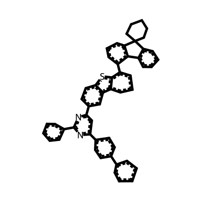 c1ccc(-c2ccc(-c3cc(-c4ccc5sc6c(-c7cccc8c7-c7ccccc7C87CCCCC7)cccc6c5c4)nc(-c4ccccc4)n3)cc2)cc1